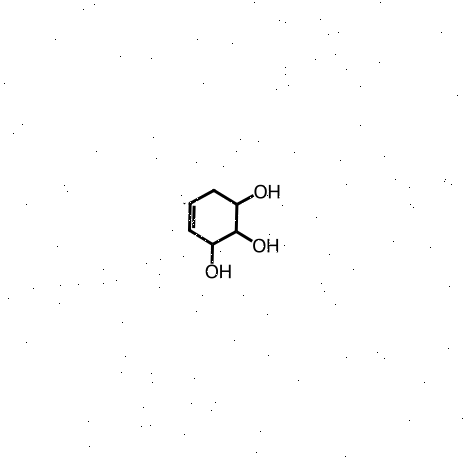 OC1C=[C]CC(O)C1O